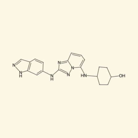 OC1CCC(Nc2cccc3nc(Nc4ccc5cn[nH]c5c4)nn23)CC1